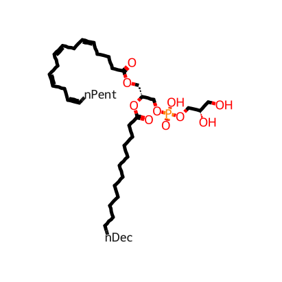 CCCCC/C=C\C/C=C\C/C=C\C/C=C\CCCC(=O)OC[C@H](COP(=O)(O)OC[C@@H](O)CO)OC(=O)CCCCCCCCCCCCCCCCCCCCC